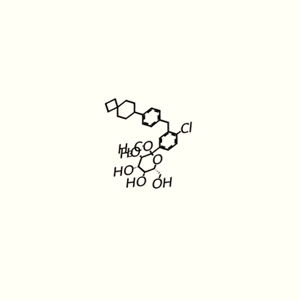 COC1(c2ccc(Cl)c(Cc3ccc(C4CCC5(CCC5)CC4)cc3)c2)O[C@H](CO)[C@@H](O)[C@H](O)[C@H]1O